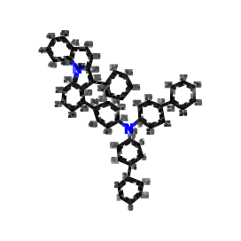 c1ccc(-c2ccc(N(c3ccc(-c4ccccc4)cc3)c3ccc(-c4cccc5c4c(-c4ccccc4)c4ccc6ccccc6n45)cc3)cc2)cc1